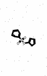 O=S(=O)(OC1=CC=CC1)c1ccccc1